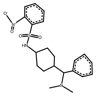 CN(C)C(c1ccccc1)C1CCC(NS(=O)(=O)c2ccccc2[N+](=O)[O-])CC1